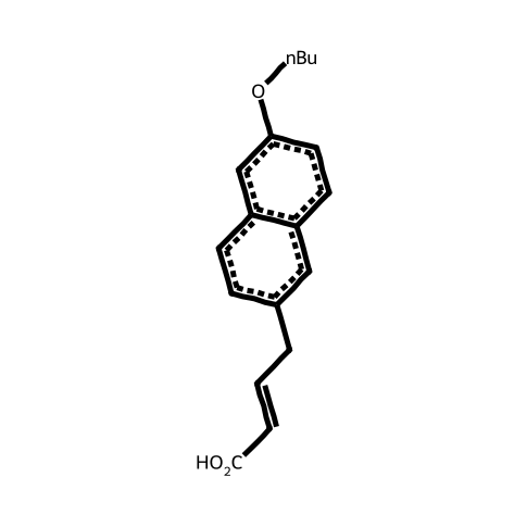 CCCCOc1ccc2cc(CC=CC(=O)O)ccc2c1